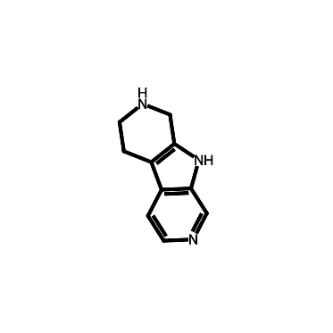 c1cc2c3c([nH]c2cn1)CNCC3